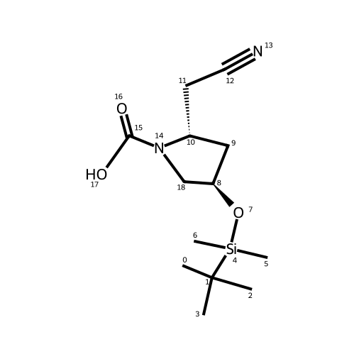 CC(C)(C)[Si](C)(C)O[C@@H]1C[C@@H](CC#N)N(C(=O)O)C1